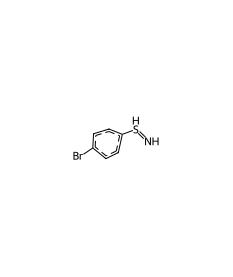 N=[SH]c1ccc(Br)cc1